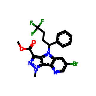 COC(=O)c1nn(C)c2c3ncc(Br)cc3n(C(CCC(F)(F)F)c3ccccc3)c12